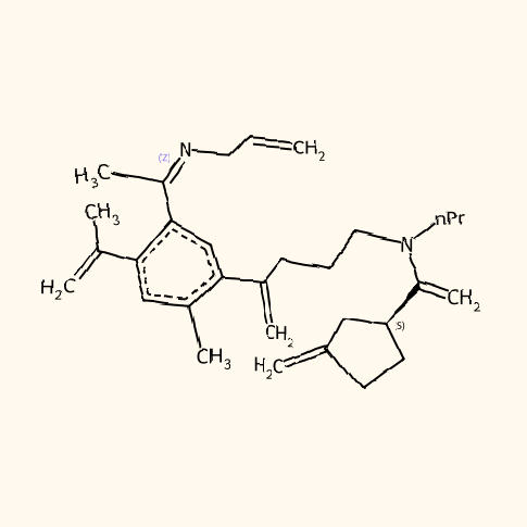 C=CC/N=C(/C)c1cc(C(=C)CCCN(CCC)C(=C)[C@H]2CCC(=C)C2)c(C)cc1C(=C)C